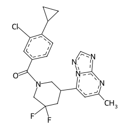 Cc1cc(C2CN(C(=O)c3ccc(C4CC4)c(Cl)c3)CC(F)(F)C2)n2ncnc2n1